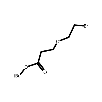 CC(C)(C)OC(=O)CCOCCBr